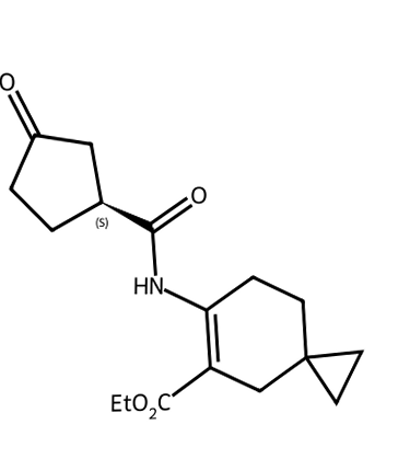 CCOC(=O)C1=C(NC(=O)[C@H]2CCC(=O)C2)CCC2(CC2)C1